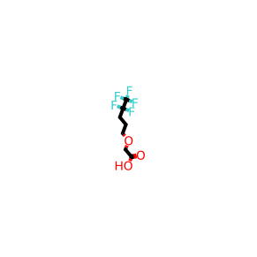 O=C(O)COCCCC(F)(F)C(F)(F)F